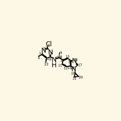 Cc1nc(Cl)nc(N[C@@H](C)c2ccc3c(c2)ncn3C2CC2)c1C